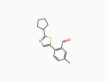 Cc1ccc(-c2cnc(C3CCCC3)s2)c(C=O)c1